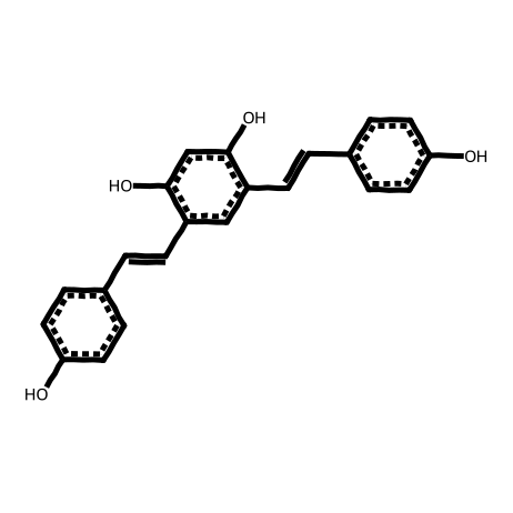 Oc1ccc(/C=C/c2cc(/C=C/c3ccc(O)cc3)c(O)cc2O)cc1